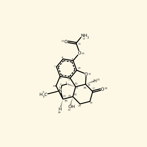 CN1CC[C@]23c4c5ccc(OC(N)=O)c4O[C@H]2C(=O)CC[C@@]3(O)[C@H]1C5